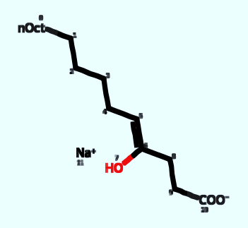 CCCCCCCCCCCCC=C(O)CCC(=O)[O-].[Na+]